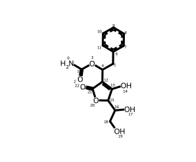 NC(=O)OC(Cc1ccccc1)C1=C(O)C(C(O)CO)OC1=O